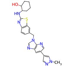 Cn1cc(-c2cnc3c(c2)ncn3Cc2ccc3nc(NC4CCCCC4O)sc3c2)cn1